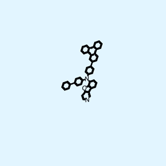 c1ccc(-c2ccc(N(c3ccc(-c4ccc5c6ccccc6c6ccccc6c5c4)cc3)c3cccc4c3oc3ccncc34)cc2)cc1